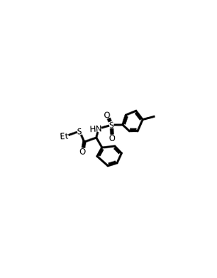 CCSC(=O)C(NS(=O)(=O)c1ccc(C)cc1)c1ccccc1